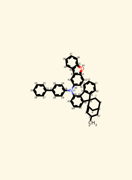 CC1C=C2CC(CCC23c2ccccc2-c2c(N(c4ccc(-c5ccccc5)cc4)c4ccc5oc6ccccc6c5c4)cccc23)C1